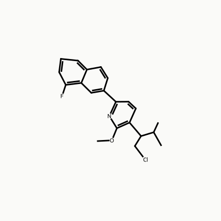 COc1nc(-c2ccc3cccc(F)c3c2)ccc1C(CCl)C(C)C